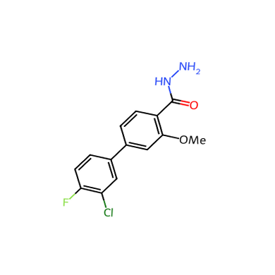 COc1cc(-c2ccc(F)c(Cl)c2)ccc1C(=O)NN